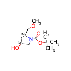 COC[C@@H]1C[C@H](O)CN1C(=O)OC(C)(C)C